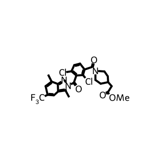 COC(=O)CC1CCN(C(=O)c2ccc(Cl)c(C(=O)n3nc4c(C)cc(C(F)(F)F)cc4c3C)c2Cl)CC1